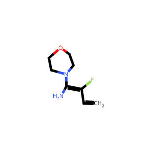 C=C/C(F)=C(\N)N1CCOCC1